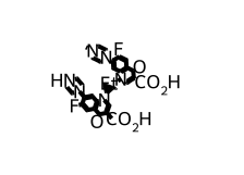 CCn1cc(C(=O)O)c(=O)c2cc(F)c(N3CCN(C)CC3)cc21.O=C(O)c1cn(C2CC2)c2cc(N3CCNCC3)c(F)cc2c1=O